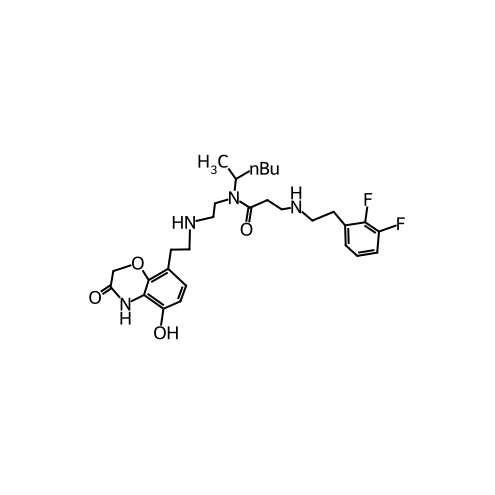 CCCCC(C)N(CCNCCc1ccc(O)c2c1OCC(=O)N2)C(=O)CCNCCc1cccc(F)c1F